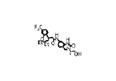 CCC1(CC)C/C(=C\C(=O)Nc2ccc3c(c2)NC(=O)N([C@H](C)CO)C3)c2ccc(C(F)(F)F)cc2O1